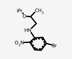 CC(C)OC(C)CNc1cc(Br)ccc1[N+](=O)[O-]